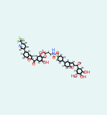 CC(CCNS(=O)(=O)c1ccc(-c2ccc3oc(C(=O)c4cc(O)c(O)c(O)c4)cc3c2)cc1)Oc1c(O)cc(C(=O)c2cc3cc(-c4ccc(C(F)(F)F)nc4)ccc3o2)cc1O